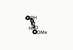 COc1cccc(NC(=O)N2CC3CC(O)(c4ccccc4)CC3C2)c1